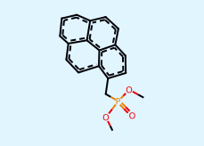 COP(=O)(Cc1ccc2ccc3cccc4ccc1c2c34)OC